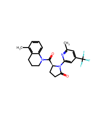 Cc1cc(C(F)(F)F)cc(N2C(=O)CC[C@H]2C(=O)N2CCCc3c(C)cccc32)n1